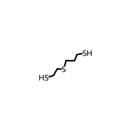 SCCCSCCS